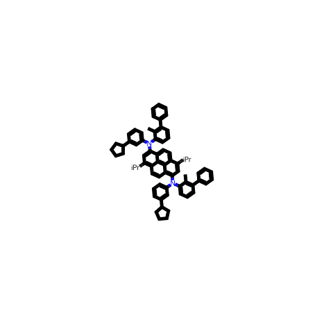 Cc1c(-c2ccccc2)cccc1N(c1cccc(C2CCCC2)c1)c1cc(C(C)C)c2ccc3c(N(c4cccc(C5CCCC5)c4)c4cccc(-c5ccccc5)c4C)cc(C(C)C)c4ccc1c2c43